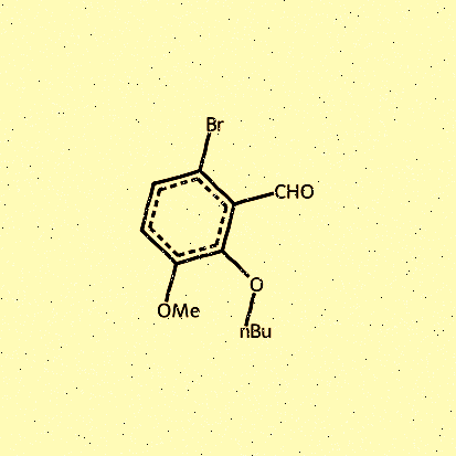 CCCCOc1c(OC)ccc(Br)c1C=O